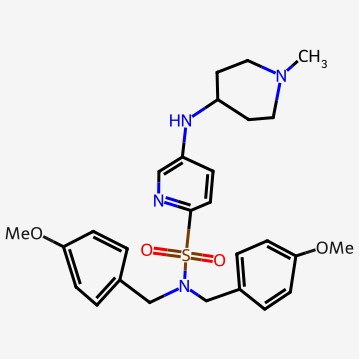 COc1ccc(CN(Cc2ccc(OC)cc2)S(=O)(=O)c2ccc(NC3CCN(C)CC3)cn2)cc1